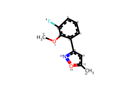 COc1c(F)cccc1-c1cc(C)on1